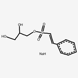 O=S(=O)(C=Cc1ccccc1)OCC(O)CO.[NaH]